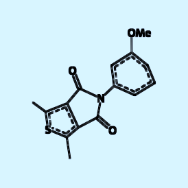 COc1cccc(N2C(=O)c3c(C)sc(C)c3C2=O)c1